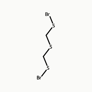 BrSCSCSBr